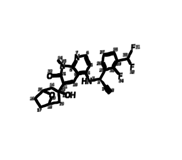 C#C[C@@H](Nc1ccnc2c1cc(C1(O)CC3CCC(C1)O3)c(=O)n2C)c1cccc(C(F)F)c1F